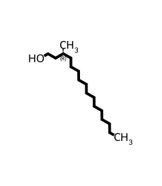 CCCCCCCCCCCCC[C@@H](C)CCO